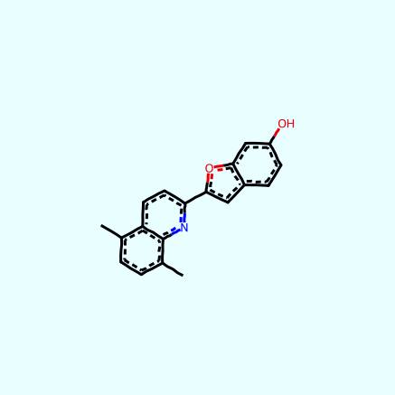 Cc1ccc(C)c2nc(-c3cc4ccc(O)cc4o3)ccc12